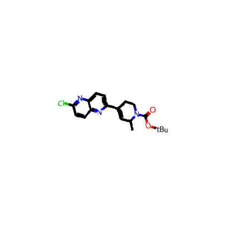 CC1C=C(c2ccc3nc(Cl)ccc3n2)CCN1C(=O)OC(C)(C)C